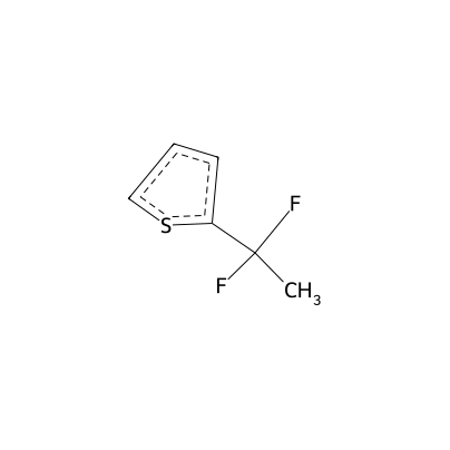 CC(F)(F)c1cccs1